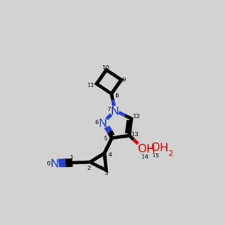 N#CC1CC1c1nn(C2CCC2)cc1O.O